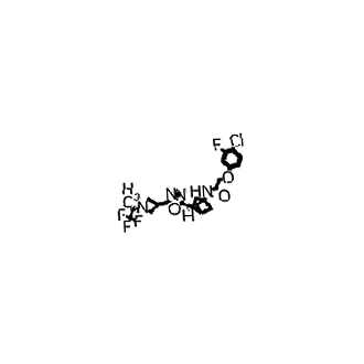 C[C@H](N1CC(c2nnc([C@H]3CC4(NC(=O)COc5ccc(Cl)c(F)c5)CC3C4)o2)C1)C(F)(F)F